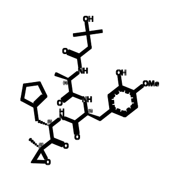 COc1ccc(C[C@H](NC(=O)[C@@H](C)NC(=O)CC(C)(C)O)C(=O)N[C@@H](CC2=CCCC2)C(=O)[C@]2(C)CO2)cc1O